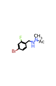 CC(=O)N(C)NCc1ccc(Br)cc1F